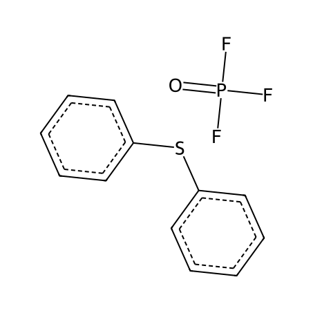 O=P(F)(F)F.c1ccc(Sc2ccccc2)cc1